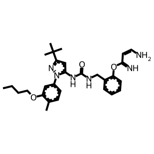 CCCCOc1cc(-n2nc(C(C)(C)C)cc2NC(=O)NCc2ccccc2OC(=N)/C=C\N)ccc1C